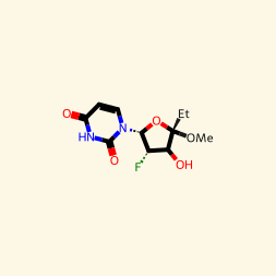 CC[C@]1(OC)O[C@@H](n2ccc(=O)[nH]c2=O)[C@@H](F)C1O